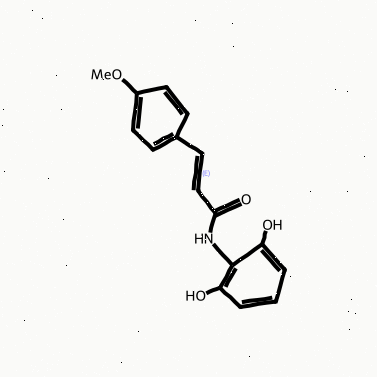 COc1ccc(/C=C/C(=O)Nc2c(O)cccc2O)cc1